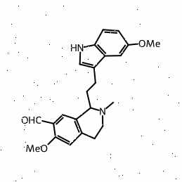 COc1ccc2[nH]cc(CCC3c4cc(C=O)c(OC)cc4CCN3C)c2c1